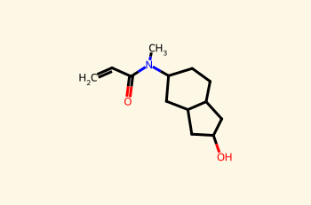 C=CC(=O)N(C)C1CCC2CC(O)CC2C1